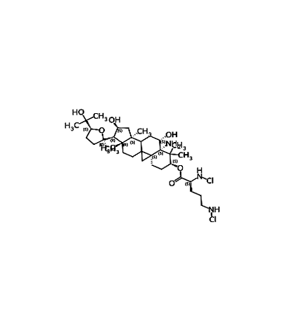 CC(C)(O)[C@@H]1CC[C@](C)([C@H]2[C@@H](O)C[C@@]3(C)C4C[C@H](O)[C@@]5(N)C(C)(C)[C@@H](OC(=O)[C@H](CCCNCl)NCl)CC[C@@]56CC46CC[C@]23C)O1